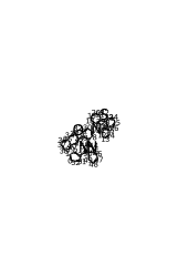 c1ccc(-c2nc(-c3cc(N(c4ccccc4)c4cccc5sc6ccccc6c45)cc4oc5cc6ccccc6cc5c34)nc3ccccc23)cc1